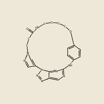 O=C1CCn2cc(cn2)-n2nnc3cnc(nc32)Nc2ccc(cc2)OCCCCN1